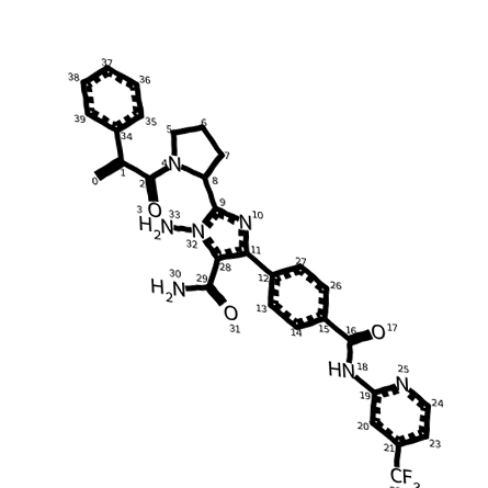 C=C(C(=O)N1CCCC1c1nc(-c2ccc(C(=O)Nc3cc(C(F)(F)F)ccn3)cc2)c(C(N)=O)n1N)c1ccccc1